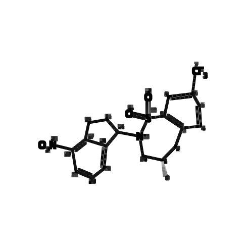 C[C@H]1Cc2ccc(C(F)(F)F)cc2S(=O)(=O)N(C2CCc3c2cccc3[N+](=O)[O-])C1